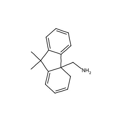 CC1(C)C2=CC=CCC2(CN)c2ccccc21